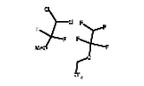 COC(F)(F)C(Cl)Cl.FC(F)C(F)(F)OCC(F)(F)F